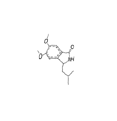 COc1cc2c(cc1OC)C(CC(C)C)NC2=O